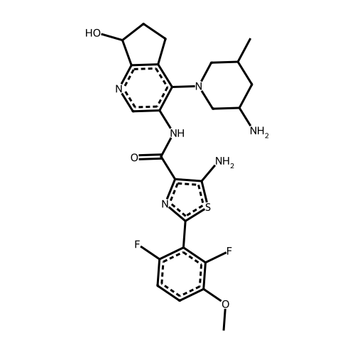 COc1ccc(F)c(-c2nc(C(=O)Nc3cnc4c(c3N3CC(C)CC(N)C3)CCC4O)c(N)s2)c1F